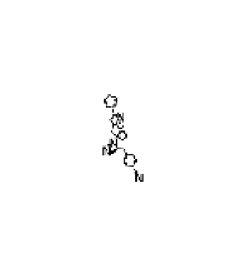 N#Cc1ccc(Cc2cncn2C(=O)Cc2cc(-c3ccccc3)no2)cc1